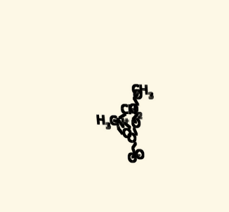 C=CC[N+]1(C)CCOCC1.COCCOCCOCCOCCC(=O)[O-]